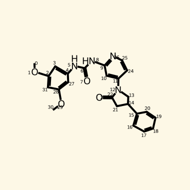 COc1cc(NC(=O)Nc2cc(N3CC(c4ccccc4)CC3=O)ccn2)cc(OC)c1